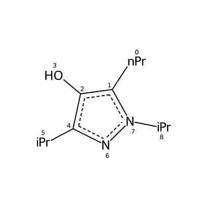 CCCc1c(O)c(C(C)C)nn1C(C)C